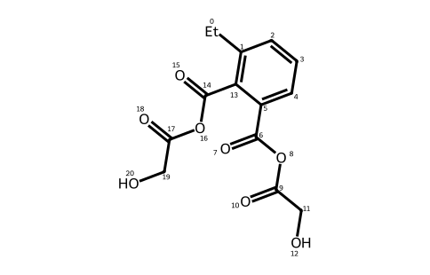 CCc1cccc(C(=O)OC(=O)CO)c1C(=O)OC(=O)CO